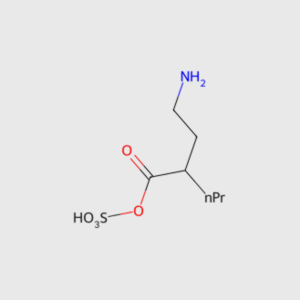 CCCC(CCN)C(=O)OS(=O)(=O)O